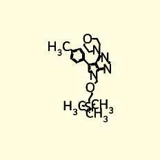 Cc1ccc(-c2cn(COCC[Si](C)(C)C)c3ncnc(N4CCOCC4)c23)cc1